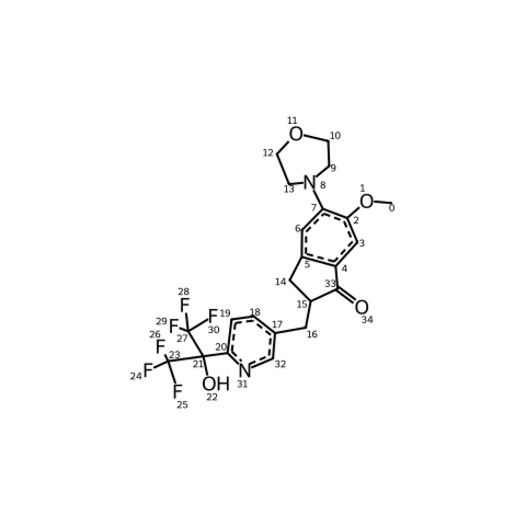 COc1cc2c(cc1N1CCOCC1)CC(Cc1ccc(C(O)(C(F)(F)F)C(F)(F)F)nc1)C2=O